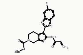 C=CC(=O)Nc1sc2c(c1-c1nc3ccc(F)cc3s1)CCN(C(=O)OC(C)(C)C)C2